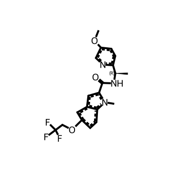 COc1ccc([C@@H](C)NC(=O)c2cc3cc(OCC(F)(F)F)ccc3n2C)nc1